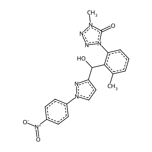 Cc1cccc(-n2nnn(C)c2=O)c1C(O)c1ccn(-c2ccc([N+](=O)[O-])cc2)n1